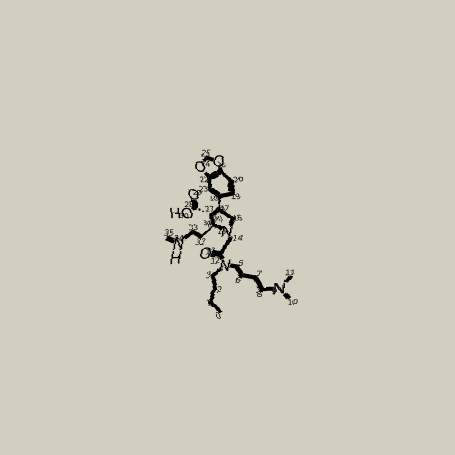 CCCCN(CCCCN(C)C)C(=O)CN1C[C@H](c2ccc3c(c2)OCO3)[C@@H](C(=O)O)[C@@H]1CCNC